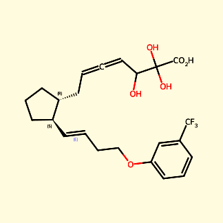 O=C(O)C(O)(O)C(O)C=C=CC[C@H]1CCC[C@@H]1/C=C/CCOc1cccc(C(F)(F)F)c1